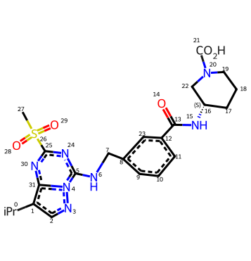 CC(C)c1cnn2c(NCc3cccc(C(=O)N[C@H]4CCCN(C(=O)O)C4)c3)nc(S(C)(=O)=O)nc12